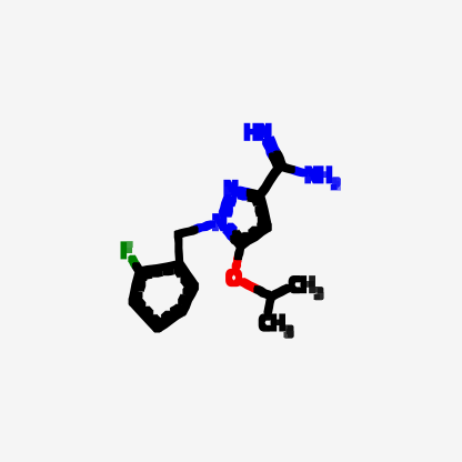 CC(C)Oc1cc(C(=N)N)nn1Cc1ccccc1F